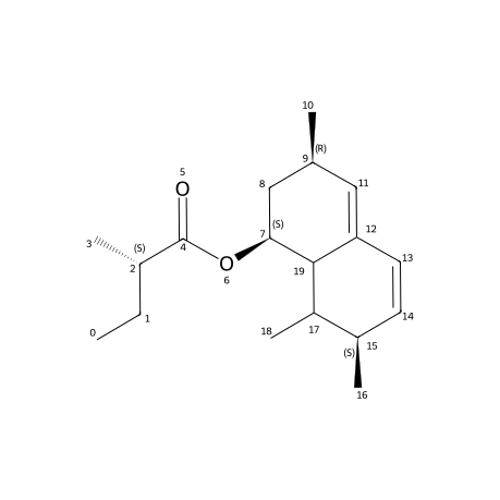 CC[C@H](C)C(=O)O[C@H]1C[C@@H](C)C=C2C=C[C@@H](C)C(C)C21